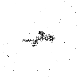 COCCCn1c([C@@H]2CCCN(C(=O)C[C@@H](Cc3ccc(-c4cn(C)c(=O)n(C)c4=O)cc3)NC(=O)OC(C)(C)C)C2)nc2ccccc21